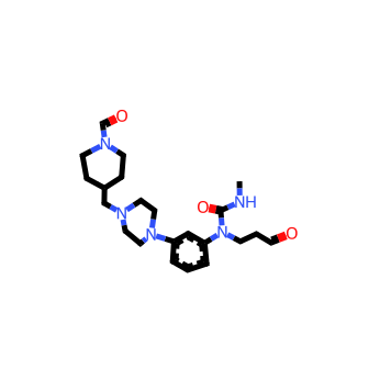 CNC(=O)N(CCC=O)c1cccc(N2CCN(CC3CCN(C=O)CC3)CC2)c1